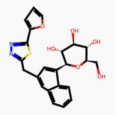 OC[C@H]1O[C@@H](c2cc(Cc3nnc(-c4ccco4)s3)cc3ccccc23)[C@H](O)[C@@H](O)[C@@H]1O